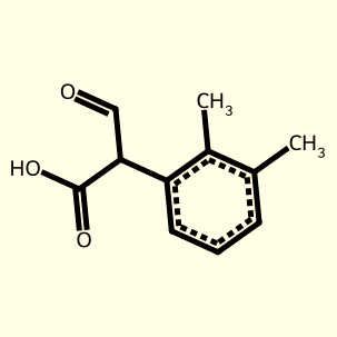 Cc1cccc(C(C=O)C(=O)O)c1C